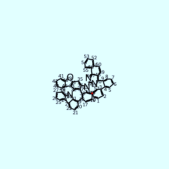 c1ccc(-c2ccccc2-c2nc(-n3c4cccc5c6cccc7c8ccccc8n(c67)c6c7c(cc3c6c54)oc3ccccc37)nc3c2ccc2ccccc23)cc1